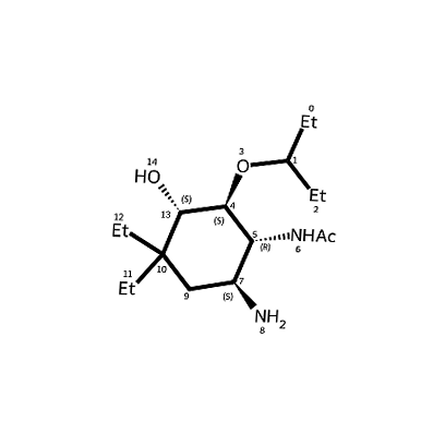 CCC(CC)O[C@H]1[C@H](NC(C)=O)[C@@H](N)CC(CC)(CC)[C@@H]1O